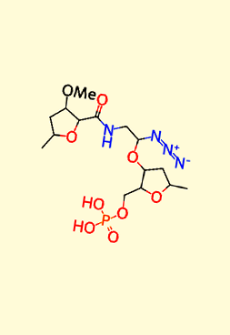 COC1CC(C)OC1C(=O)NCC(N=[N+]=[N-])OC1CC(C)OC1COP(=O)(O)O